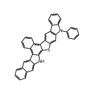 c1ccc(-n2c3ccccc3c3cc4c(cc32)sc2c3[nH]c5cc6ccccc6cc5c3c3ccccc3c42)cc1